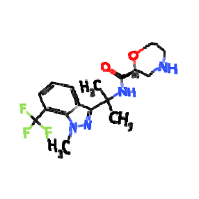 Cn1nc(C(C)(C)NC(=O)[C@@H]2CNCCO2)c2cccc(C(F)(F)F)c21